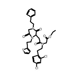 CCOC(=O)CN(CCc1ccc(Cl)cc1Cl)C(=O)CC1C(=O)N(CCc2ccccc2)CC(=O)N1CCc1cccs1